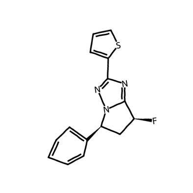 F[C@H]1C[C@@H](c2ccccc2)n2nc(-c3cccs3)nc21